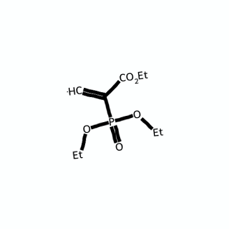 [CH]=C(C(=O)OCC)P(=O)(OCC)OCC